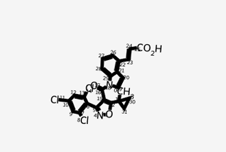 CC1(c2onc(-c3c(Cl)cc(Cl)cc3Cl)c2C(=O)n2ccc3c(/C=C/C(=O)O)cccc32)CC1